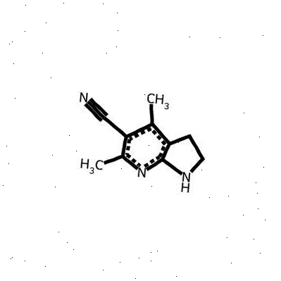 Cc1nc2c(c(C)c1C#N)CCN2